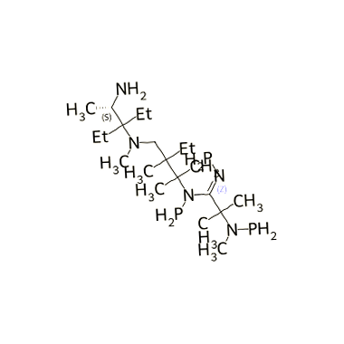 CCC(CC)([C@H](C)N)N(C)CC(C)(CC)C(C)(C)N(P)/C(=N\P)C(C)(C)N(C)P